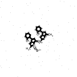 CC1=PC2=C(C)C=C(c3ccccc3C(F)(F)F)C2=C1.CC1=PC2=C(C)C=C(c3ccccc3C(F)(F)F)C2=C1.[Cl-].[Cl-].[Zr+2]